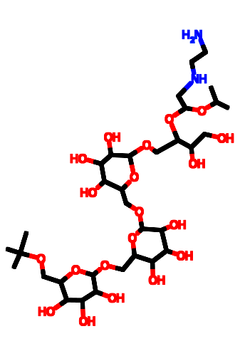 CC(C)OC(CNCCN)OC(COC1OC(COC2OC(COC3OC(COC(C)(C)C)C(O)C(O)C3O)C(O)C(O)C2O)C(O)C(O)C1O)C(O)CO